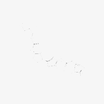 CC[C@H](C)CNC(=O)O[C@@H]1CC[C@H](c2cc(NC(=O)Cc3cnc(C)o3)n[nH]2)C1